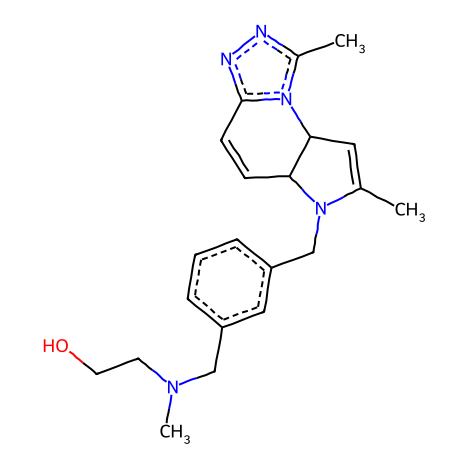 CC1=CC2C(C=Cc3nnc(C)n32)N1Cc1cccc(CN(C)CCO)c1